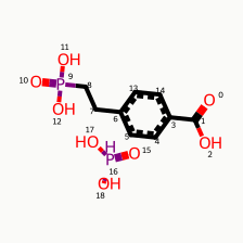 O=C(O)c1ccc(CCP(=O)(O)O)cc1.O=[PH](O)O